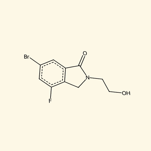 O=C1c2cc(Br)cc(F)c2CN1CCO